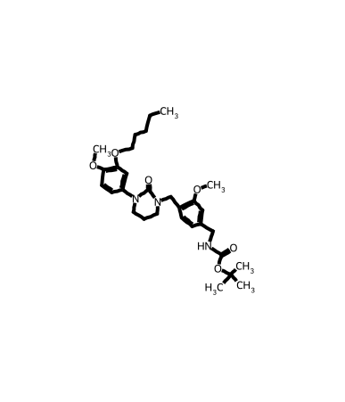 CCCCCOc1cc(N2CCCN(Cc3ccc(CNC(=O)OC(C)(C)C)cc3OC)C2=O)ccc1OC